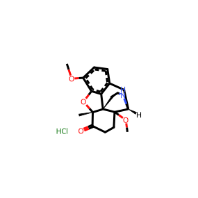 COc1ccc2c3c1O[C@@]1(C)C(=O)CCC4(OC)[C@@H](C2)NCC[C@@]341.Cl